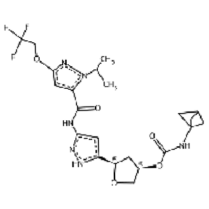 CC(C)n1nc(OCC(F)(F)F)cc1C(=O)Nc1cc([C@H]2C[C@@H](OC(=O)NC34CC(C3)C4)CO2)[nH]n1